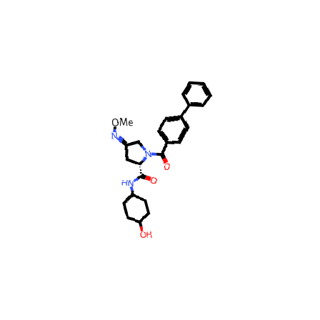 CON=C1C[C@@H](C(=O)NC2CCC(O)CC2)N(C(=O)c2ccc(-c3ccccc3)cc2)C1